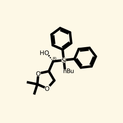 CCCC[Si](c1ccccc1)(c1ccccc1)[C@@H](O)C1COC(C)(C)O1